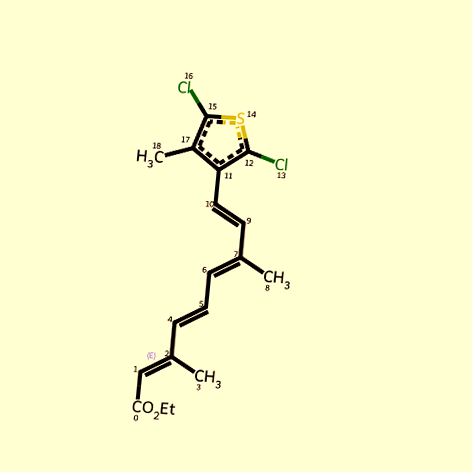 CCOC(=O)/C=C(\C)C=CC=C(C)C=Cc1c(Cl)sc(Cl)c1C